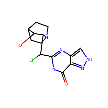 O=c1[nH]c(C(Cl)C2C(O)C3CCN2CC3)nc2c[nH]nc12